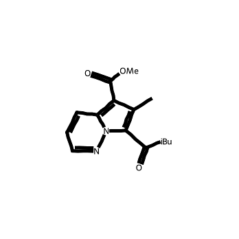 CCC(C)C(=O)c1c(C)c(C(=O)OC)c2cccnn12